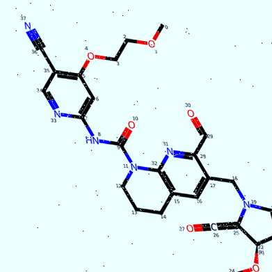 COCCOc1cc(NC(=O)N2CCCc3cc(CN4CC[C@@H](OC)C4=C=O)c(C=O)nc32)ncc1C#N